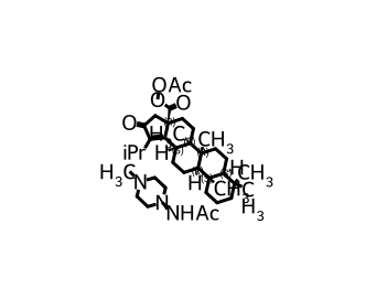 CC(=O)NN1CCN(C)CC1.CC(=O)OOC(=O)[C@@]12CC[C@]3(C)[C@H](CC[C@@H]4[C@@]5(C)CCCC(C)(C)[C@@H]5CC[C@]43C)C1=C(C(C)C)C(=O)C2